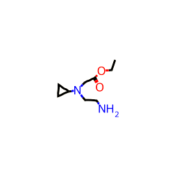 CCOC(=O)CN(CCN)C1CC1